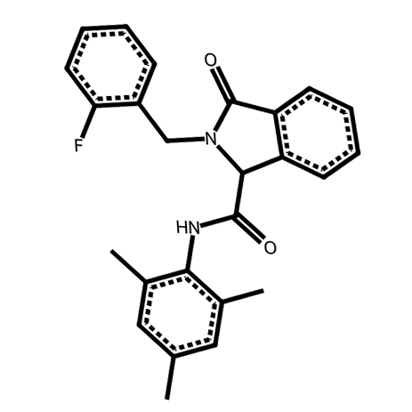 Cc1cc(C)c(NC(=O)C2c3ccccc3C(=O)N2Cc2ccccc2F)c(C)c1